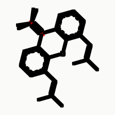 CC(C)=Cc1cccc(C=C(C)C)c1Oc1c(C=C(C)C)cccc1C=C(C)C